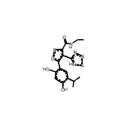 CCNC(=O)c1noc(-c2cc(C(C)C)c(O)cc2O)c1-c1nnn[nH]1